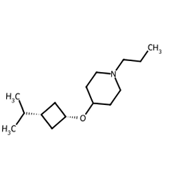 CCCN1CCC(O[C@H]2C[C@@H](C(C)C)C2)CC1